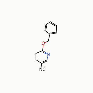 [C-]#[N+]c1ccc(OCc2ccccc2)nc1